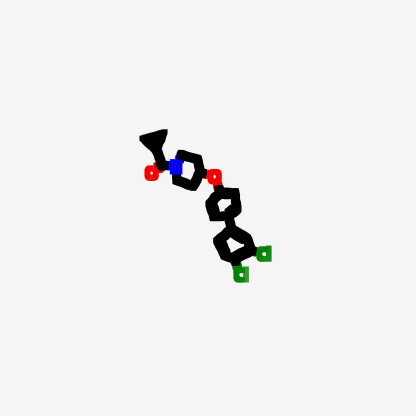 O=C(C1CC1)N1CCC(Oc2ccc(-c3ccc(Cl)c(Cl)c3)cc2)CC1